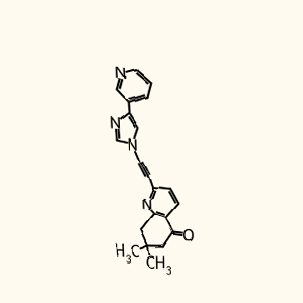 CC1(C)CC(=O)c2ccc(C#Cn3cnc(-c4cccnc4)c3)nc2C1